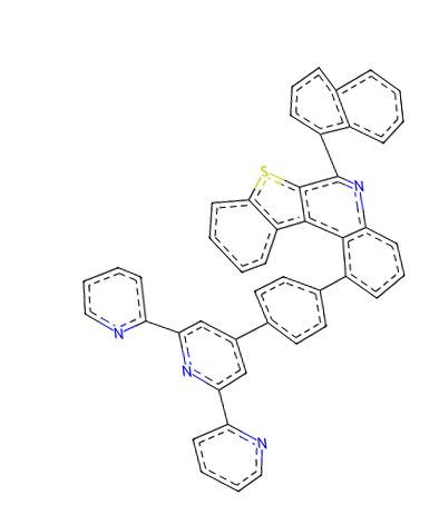 c1ccc(-c2cc(-c3ccc(-c4cccc5nc(-c6cccc7ccccc67)c6sc7ccccc7c6c45)cc3)cc(-c3ccccn3)n2)nc1